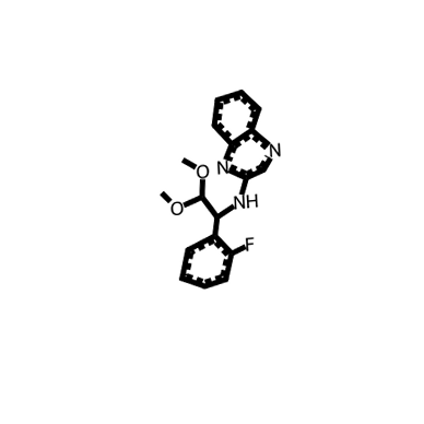 COC(OC)C(Nc1cnc2ccccc2n1)c1ccccc1F